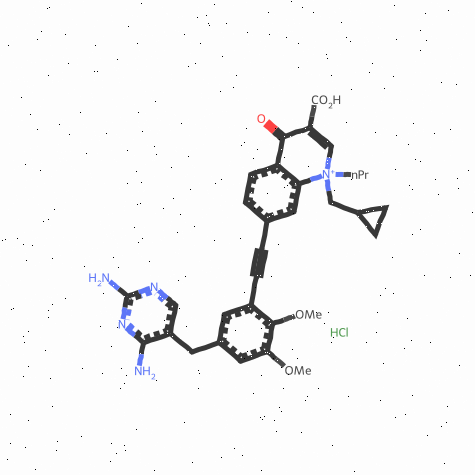 CCC[N+]1(CC2CC2)C=C(C(=O)O)C(=O)c2ccc(C#Cc3cc(Cc4cnc(N)nc4N)cc(OC)c3OC)cc21.Cl